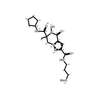 CCCN1C(=O)c2cc(C(=O)NCCCOC)nn2CC1(C)C(=O)NC1CCCC1